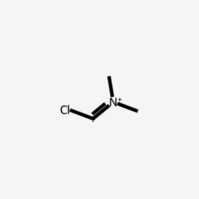 C[N+](C)=[C]Cl